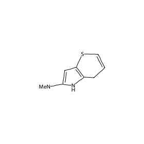 CNc1cc2c([nH]1)CC=CS2